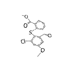 COC(=O)c1ccccc1Sc1c(Cl)cc(OC)cc1C=O